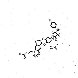 COc1cc2c(Oc3ccc(NC(=O)C4(C(=O)Nc5ccc(F)cc5)CC4)cc3F)ccnc2cc1OCCCC(=O)O.[CaH2]